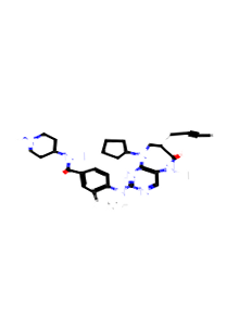 CC#CC[C@@H]1CN(C2CCCC2)c2nc(Nc3ccc(C(=O)NC4CCN(C)CC4)cc3OC)ncc2N(C)C1=O